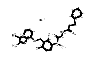 Cc1nc2c(OCc3c(Cl)ccc(N(C)C(=O)CNC(=O)CCc4ccccc4)c3Cl)cccn2c1Br.Cl